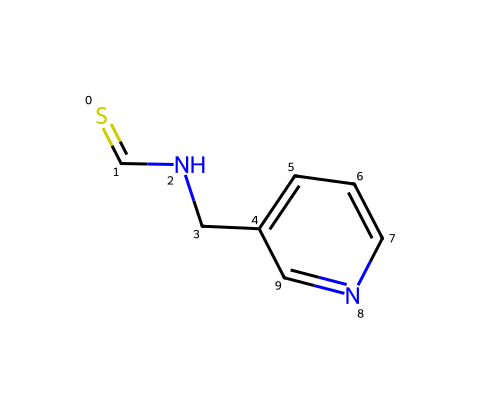 S=CNCc1cccnc1